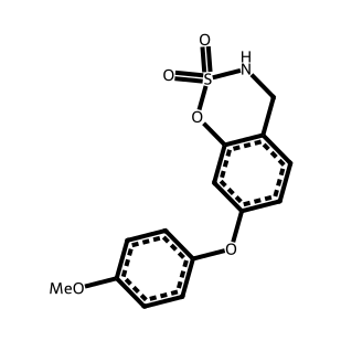 COc1ccc(Oc2ccc3c(c2)OS(=O)(=O)NC3)cc1